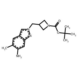 Cc1cc2cn(CC3CN(C(=O)OC(C)(C)C)C3)nc2cc1N